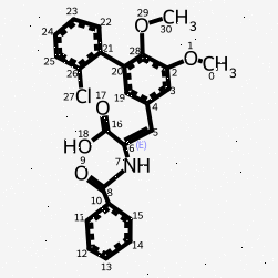 COc1cc(/C=C(/NC(=O)c2ccccc2)C(=O)O)cc(-c2ccccc2Cl)c1OC